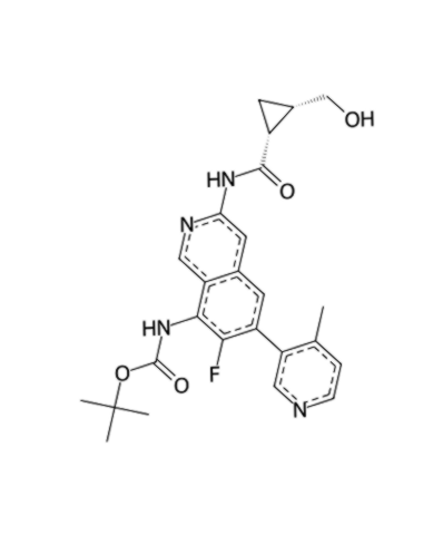 Cc1ccncc1-c1cc2cc(NC(=O)[C@@H]3C[C@@H]3CO)ncc2c(NC(=O)OC(C)(C)C)c1F